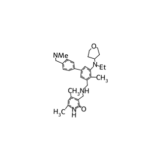 CCN(c1cc(-c2ccc(CNC)cc2)cc(CNCc2c(C)cc(C)[nH]c2=O)c1C)C1CCOCC1